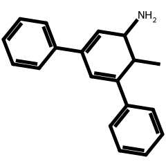 CC1C(c2ccccc2)=CC(c2ccccc2)=CC1N